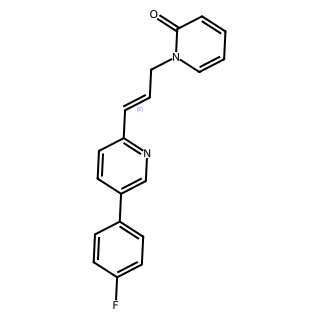 O=c1ccccn1C/C=C/c1ccc(-c2ccc(F)cc2)cn1